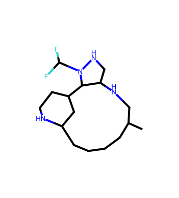 CC1CCCCC2CC(CCN2)C2C(CNN2C(F)F)NC1